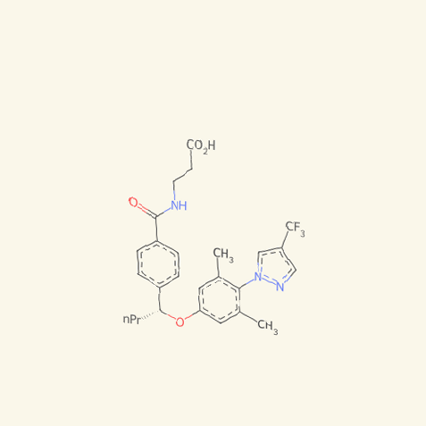 CCC[C@@H](Oc1cc(C)c(-n2cc(C(F)(F)F)cn2)c(C)c1)c1ccc(C(=O)NCCC(=O)O)cc1